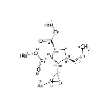 C/C=C\[C@@H]1C[C@H](C(=O)OC(C)(C)C)N(C(=O)OC(C)(C)C)[C@H]1C1CN1C(C)=O